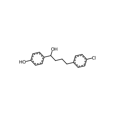 Oc1ccc(C(O)CCCc2ccc(Cl)cc2)cc1